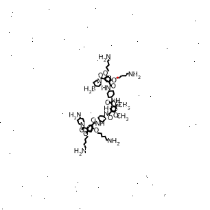 BC1CCN(C(=O)c2cc(C(=O)N[C@H]3CC[C@@H](NC(=O)c4cc(C(=O)N[C@H]5CC[C@@H](NC(=O)c6cc(C(=O)N7CCC(N)CC7)c(OCCCCCN)cc6OCCCCCN)CC5)c(OC)cc4OC)CC3)c(OCCCCCN)cc2OCCCCCN)CC1